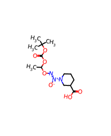 CC(ON=[N+]([O-])N1CCCC(C(=O)O)C1)OC(=O)OC(C)(C)C